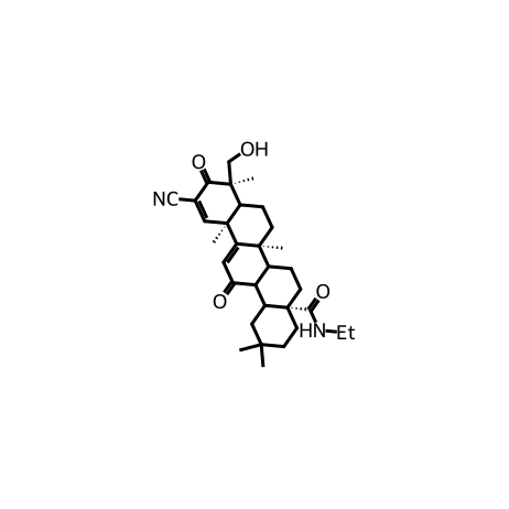 CCNC(=O)[C@@]12CCC3C(C(=O)C=C4[C@@]5(C)C=C(C#N)C(=O)[C@@](C)(CO)C5CC[C@]43C)C1CC(C)(C)CC2